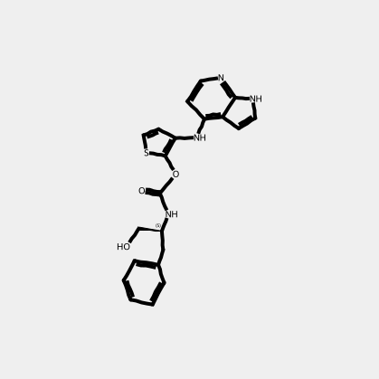 O=C(N[C@H](CO)Cc1ccccc1)Oc1sccc1Nc1ccnc2[nH]ccc12